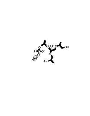 C=C(C)C(=O)O.CC(O)COC(C)COC(C)CO.O=P([O-])([O-])[O-].[Na+].[Na+].[Na+]